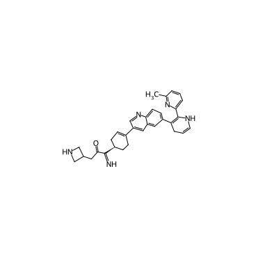 Cc1cccc(C2=C(c3ccc4ncc(C5=CC[C@H](C(=N)C(=O)CC6CNC6)CC5)cc4c3)CC=CN2)n1